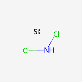 ClNCl.[Si]